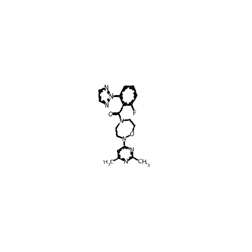 Cc1cc(N2CCN(C(=O)c3c(F)cccc3-n3nccn3)CCO2)nc(C)n1